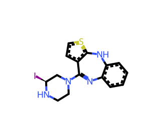 I[C@H]1CN(C2=Nc3ccccc3Nc3sccc32)CCN1